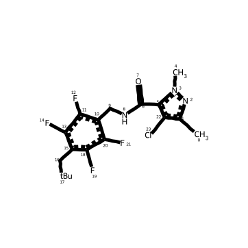 Cc1nn(C)c(C(=O)NCc2c(F)c(F)c(CC(C)(C)C)c(F)c2F)c1Cl